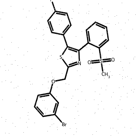 CS(=O)(=O)c1ccccc1-c1nc(COc2cccc(Br)c2)sc1-c1ccc(F)cc1